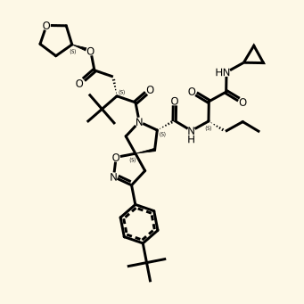 CCC[C@H](NC(=O)[C@@H]1C[C@]2(CC(c3ccc(C(C)(C)C)cc3)=NO2)CN1C(=O)[C@@H](CC(=O)O[C@H]1CCOC1)C(C)(C)C)C(=O)C(=O)NC1CC1